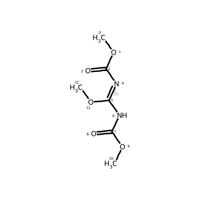 COC(=O)/N=C(/NC(=O)OC)OC